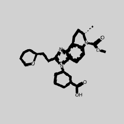 COC(=O)N1c2ccc3c(nc(CCC4CCCCO4)n3C3CCCC(C(=O)O)C3)c2CC[C@@H]1C